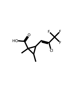 CC1C(C=C(Cl)C(F)(F)F)C1(C)C(=O)O